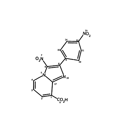 O=C(O)c1cccn2c([N+](=O)[O-])c(-c3ccc([N+](=O)[O-])cc3)nc12